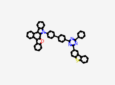 c1ccc(-c2nc(-c3ccc(-c4ccc(-n5c6ccccc6c6c7ccccc7c7c8ccccc8oc7c65)cc4)cc3)nc(-c3ccc4sc5ccccc5c4c3)n2)cc1